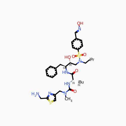 CC[C@H](C)[C@H](NC(=O)N(C)Cc1csc(CN)n1)C(=O)N[C@@H](Cc1ccccc1)[C@H](O)CN(CC(C)C)S(=O)(=O)c1ccc(C=NO)cc1